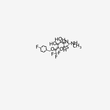 CNC1=N[C@@H]2[C@@H](O)[C@H](O)[C@@H]([C@@H](OCc3ccc(F)cc3)C(F)(F)F)O[C@@H]2S1